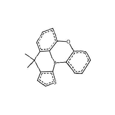 CC1(C)c2ccsc2B2c3ccccc3Oc3cccc1c32